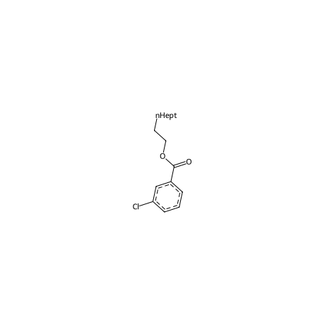 CCCCCCCCCOC(=O)c1cccc(Cl)c1